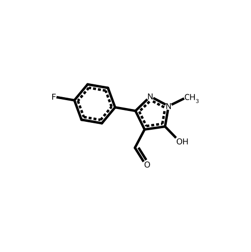 Cn1nc(-c2ccc(F)cc2)c(C=O)c1O